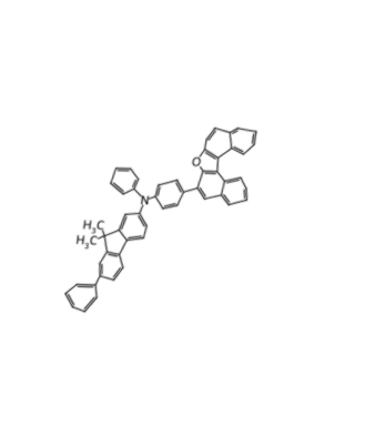 CC1(C)c2cc(-c3ccccc3)ccc2-c2ccc(N(c3ccccc3)c3ccc(-c4cc5ccccc5c5c4oc4ccc6ccccc6c45)cc3)cc21